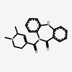 CC1C=C(C(=O)N2C(=O)c3ccccc3Nc3ccccc32)CCN1C